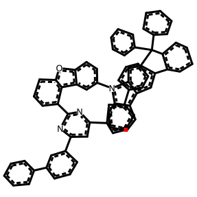 c1ccc(-c2cccc(-c3cc(-c4cccc(-c5ccccc5)c4)nc(-c4cccc5oc6ccc(-n7c8ccccc8c8cc9c(cc87)C(c7ccccc7)(c7ccccc7)c7ccccc7-9)cc6c45)n3)c2)cc1